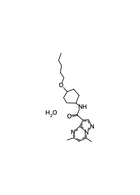 CCCCCOC1CCC(NC(=O)c2cnn3c(C)cc(C)nc23)CC1.O